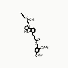 CC#CC[C@H](C)[C@H](O)/C=C/[C@H]1CC[C@@H]2Oc3c(CCCC(=O)OCc4ccc(OC)cc4OC)cccc3[C@@H]21